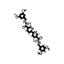 COc1cc(/C=N/NC(=O)c2ccc(-c3ccc(C(=O)N/N=C/c4cc(OC)cc(OC)c4)cn3)nc2)cc(OC)c1